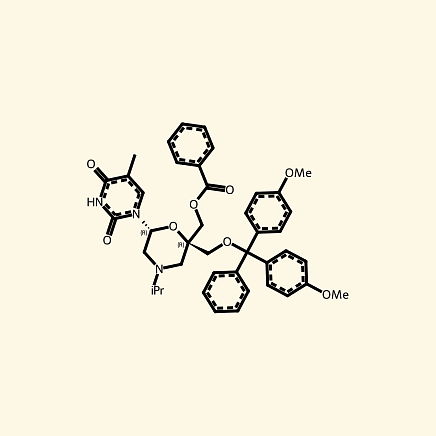 COc1ccc(C(OC[C@@]2(COC(=O)c3ccccc3)CN(C(C)C)C[C@H](n3cc(C)c(=O)[nH]c3=O)O2)(c2ccccc2)c2ccc(OC)cc2)cc1